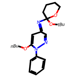 CCCCOc1cc(=NC2(OC(C)(C)C)CCCCO2)cnn1-c1ccccc1